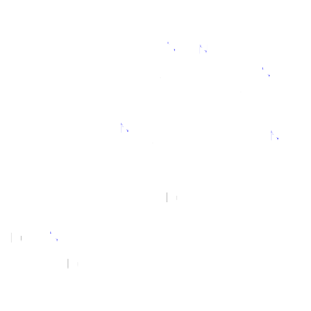 CCc1c(C=C2C(=O)NN=C2c2cnccn2)[nH]c(C)c1CCN(CC)CC